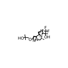 C[C@H]1Cn2nc(OCC(C)(C)O)cc2-c2cnc(C(C)(O)C(F)(F)F)n21